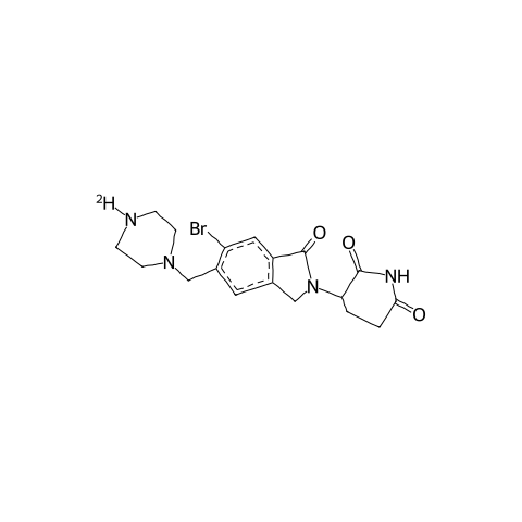 [2H]N1CCN(Cc2cc3c(cc2Br)C(=O)N(C2CCC(=O)NC2=O)C3)CC1